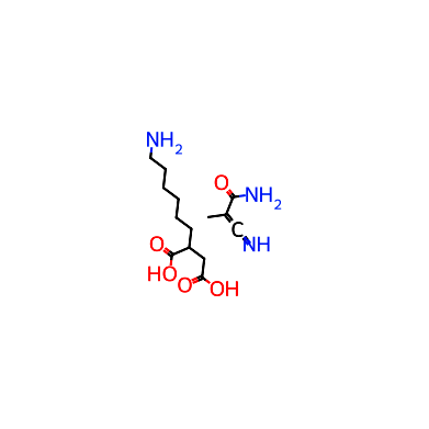 CC(=C=N)C(N)=O.NCCCCCCC(CC(=O)O)C(=O)O